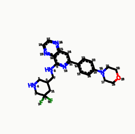 FC1(F)CNCC(CNc2nc(-c3ccc(N4CCOCC4)cc3)cc3nccnc23)C1